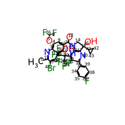 Cc1nc2c(OC(F)F)cc(C(=O)NC[C@](O)(c3cc(C(O)(C(F)(F)F)C(F)(F)F)c(F)c(-c4ccc(F)cc4)n3)C3CC3)cc2cc1Br